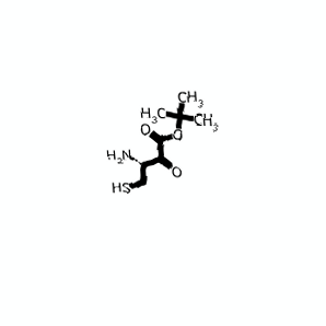 CC(C)(C)OC(=O)C(=O)[C@@H](N)CS